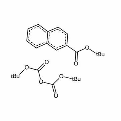 CC(C)(C)OC(=O)OC(=O)OC(C)(C)C.CC(C)(C)OC(=O)c1ccc2ccccc2c1